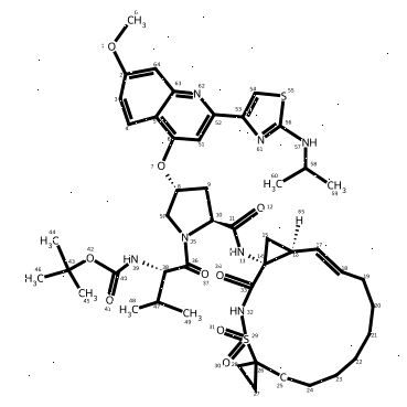 COc1ccc2c(O[C@@H]3C[C@@H](C(=O)N[C@]45C[C@H]4/C=C/CCCCCCCC4(CC4)S(=O)(=O)NC5=O)N(C(=O)[C@@H](NC(=O)OC(C)(C)C)C(C)C)C3)cc(-c3csc(NC(C)C)n3)nc2c1